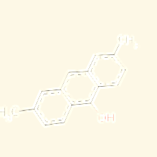 Cc1ccc2c(O)c3ccc(C)cc3cc2c1